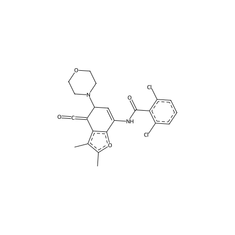 Cc1oc2c(c1C)C(=C=O)C(N1CCOCC1)C=C2NC(=O)c1c(Cl)cccc1Cl